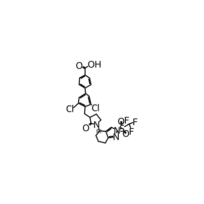 O=C(O)c1ccc(-c2cc(Cl)c(CC3CCN([C@@H]4CCCc5nn(S(=O)(=O)C(F)(F)F)cc54)C3=O)c(Cl)c2)cc1